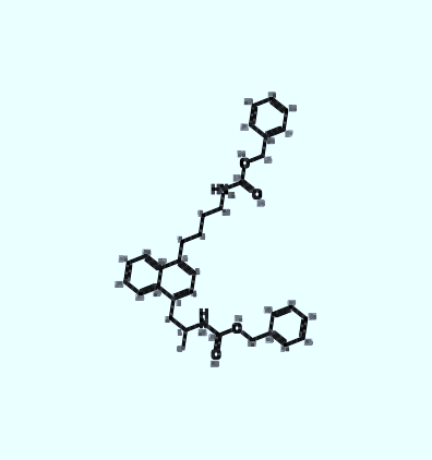 CC(Cc1ccc(CCCCNC(=O)OCc2ccccc2)c2ccccc12)NC(=O)OCc1ccccc1